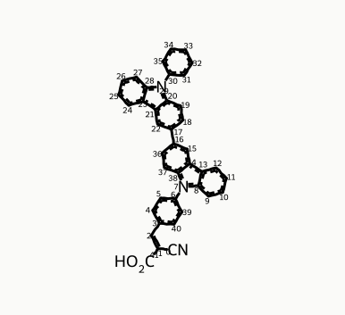 N#C/C(=C\c1ccc(-n2c3ccccc3c3cc(-c4ccc5c(c4)c4ccccc4n5-c4ccccc4)ccc32)cc1)C(=O)O